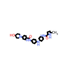 Cc1ccc(C(=O)Nc2ccc(Nc3ccc(NC(=O)c4ccc(N5CCC(O)CC5)cc4)cc3)cc2)[nH]1